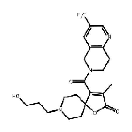 CC1=C(C(=O)N2CCc3ncc(C(F)(F)F)cc3C2)C2(CCN(CCCO)CC2)OC1=O